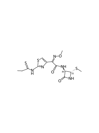 CCC(=S)Nc1nc(C(=NOC)C(=O)N[C@@H]2C(=O)N[C@H]2SC)cs1